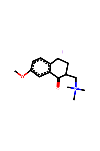 COc1ccc2c(c1)C(=O)C(C[N+](C)(C)C)CC2.[I-]